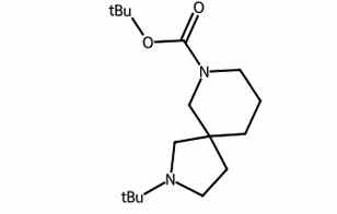 CC(C)(C)OC(=O)N1CCCC2(CCN(C(C)(C)C)C2)C1